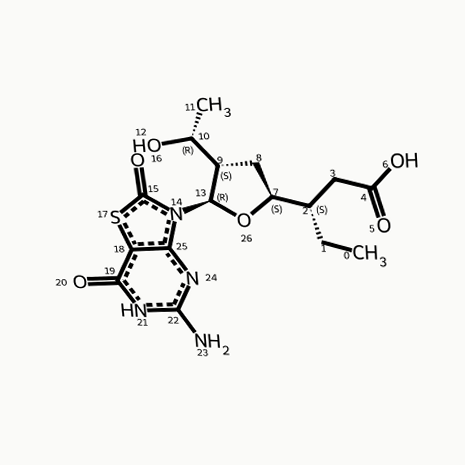 CC[C@@H](CC(=O)O)[C@@H]1C[C@@H]([C@@H](C)O)[C@H](n2c(=O)sc3c(=O)[nH]c(N)nc32)O1